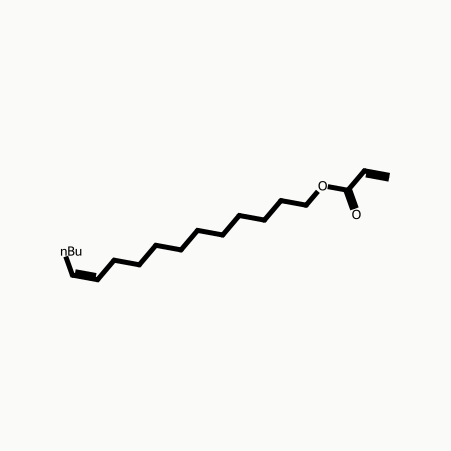 C=CC(=O)OCCCCCCCCCC/C=C\CCCC